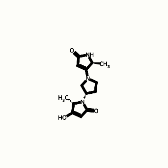 C[C@@H]1NC(=O)C=C1N1CC[C@H](N2C(=O)C=C(O)[C@@H]2C)C1